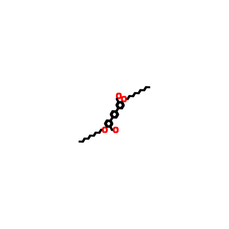 CCCCCCCCCOc1ccc(-c2ccc(-c3ccc(OCCCCCCCCC)c(C=O)c3)cc2)cc1C=O